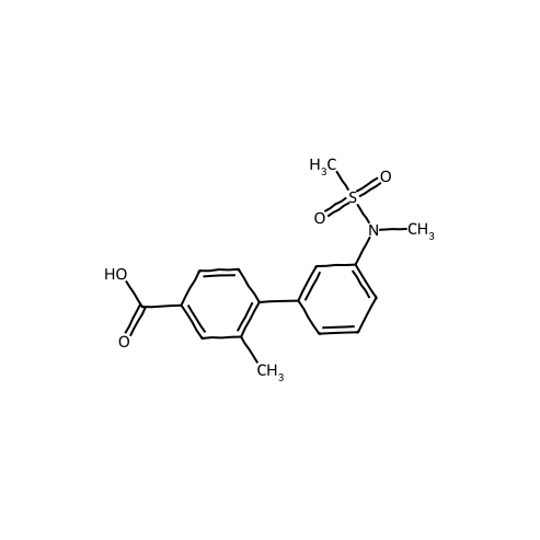 Cc1cc(C(=O)O)ccc1-c1cccc(N(C)S(C)(=O)=O)c1